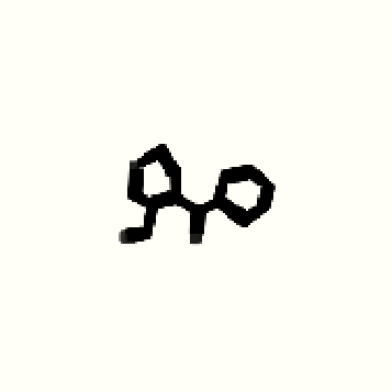 O=Cc1cnccc1C(=O)c1ccccc1